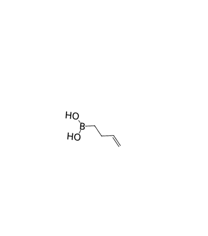 C=CCCB(O)O